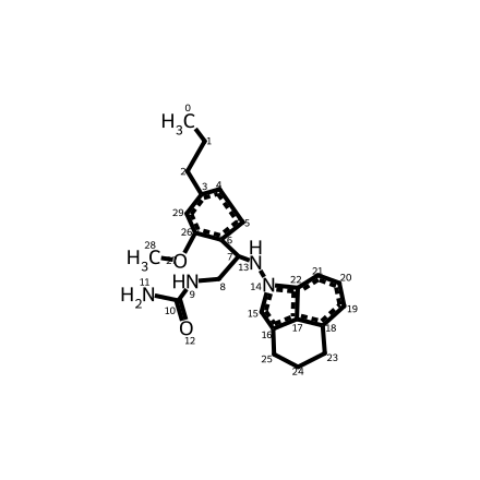 CCCc1ccc(C(CNC(N)=O)Nn2cc3c4c(cccc42)CCC3)c(OC)c1